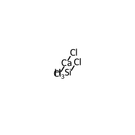 [Cl][Ca][Cl].[SiH3]Cl